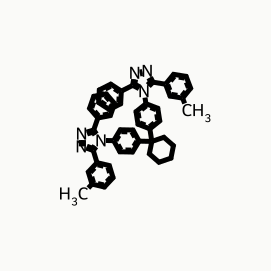 Cc1cccc(-c2nnc(-c3ccccc3)n2-c2ccc(C3(c4ccc(-n5c(-c6ccccc6)nnc5-c5cccc(C)c5)cc4)CCCCC3)cc2)c1